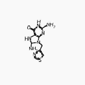 Nc1nc2c(c(=O)[nH]1)NC(N)N2Cc1cscn1